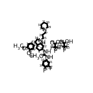 COc1ccc([C@@]23CC[C@@H](NC(=O)Nc4ccc(F)c(F)c4)C[C@@H]2N(CCCN2CCCCC2)CC3)cc1OC.O=C(O)C(F)(F)F.O=C(O)C(F)(F)F